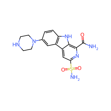 NC(=O)c1nc(S(N)(=O)=O)cc2c1[nH]c1ccc(N3CCNCC3)cc12